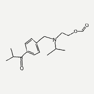 CC(C)C(=O)c1ccc(CN(CCOC=O)C(C)C)cc1